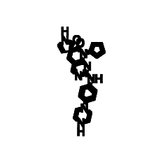 O=C1NCC[C@]12Cc1cnc(Nc3ccc(N4CCNCC4)cc3)nc1N(C1CCCC1)C2=O